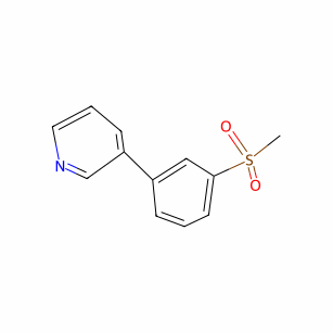 CS(=O)(=O)c1cccc(-c2cccnc2)c1